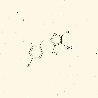 Cc1nn(Cc2ccc(C(F)(F)F)cc2)c(N)c1C=O